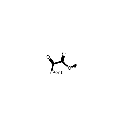 CCCCCC(=O)C(=O)OC(C)C